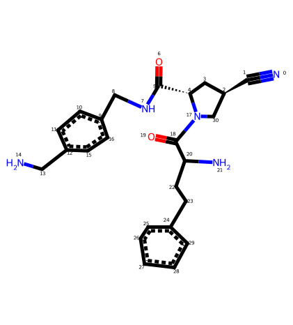 N#C[C@@H]1C[C@@H](C(=O)NCc2ccc(CN)cc2)N(C(=O)C(N)CCc2ccccc2)C1